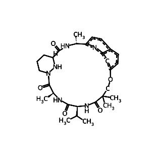 CC(C)[C@@H]1NC(=O)C(C)(C)COc2ccc3ccc(nc3c2)[C@@H](C)NC(=O)[C@H]2CCCN(N2)C(=O)[C@H](C)NC1=O